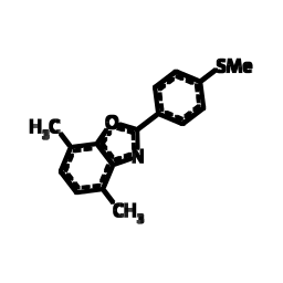 CSc1ccc(-c2nc3c(C)ccc(C)c3o2)cc1